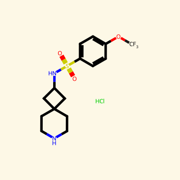 Cl.O=S(=O)(NC1CC2(CCNCC2)C1)c1ccc(OC(F)(F)F)cc1